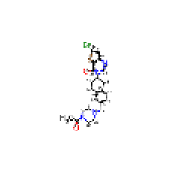 CC(=O)N1CCN(Cc2ccc3c(c2)CC[C@H](n2cnc4cc(Br)sc4c2=O)C3)CC1